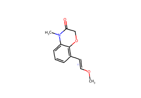 CO/C=C/c1cccc2c1OCC(=O)N2C